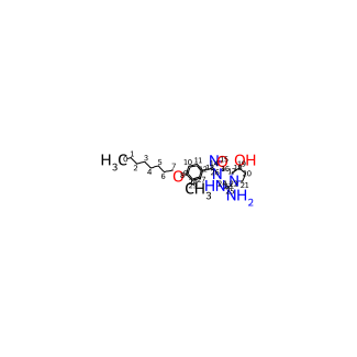 CCCCCCCCOc1ccc(-c2noc([C@@H]3[C@H](O)CCN3C(=N)N)n2)cc1C